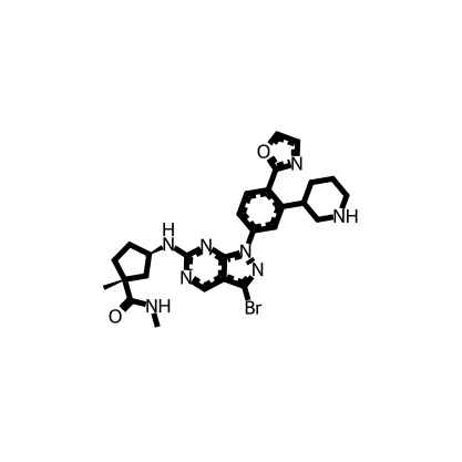 CNC(=O)[C@]1(C)CC[C@@H](Nc2ncc3c(Br)nn(-c4ccc(-c5ncco5)c(C5CCCNC5)c4)c3n2)C1